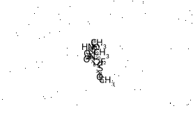 COCCSc1ccc(N2C(=O)O[C@H](NC(C)=O)C2C)cc1F